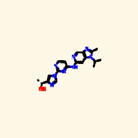 Cc1nc2cnc(Nc3ccnc(-n4cnc([C@@H](C)O)c4)n3)cc2n1C(C)C